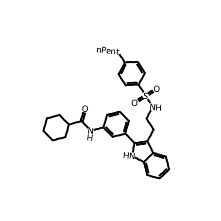 CCCCCc1ccc(S(=O)(=O)NCCc2c(-c3cccc(NC(=O)C4CCCCC4)c3)[nH]c3ccccc23)cc1